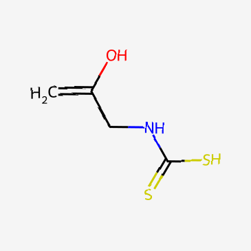 C=C(O)CNC(=S)S